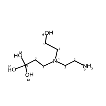 NCCN(CCO)CCC(O)(O)O